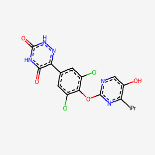 CC(C)c1nc(Oc2c(Cl)cc(-c3n[nH]c(=O)[nH]c3=O)cc2Cl)ncc1O